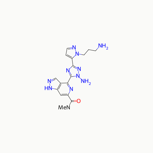 CNC(=O)c1cc2[nH]ncc2c(-c2nc(-c3ccnn3CCCN)nn2N)n1